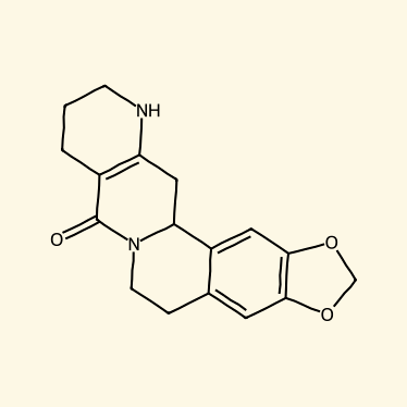 O=C1C2=C(CC3c4cc5c(cc4CCN13)OCO5)NCCC2